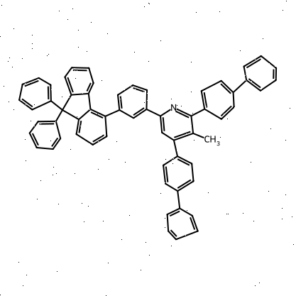 Cc1c(-c2ccc(-c3ccccc3)cc2)cc(-c2cccc(-c3cccc4c3-c3ccccc3C4(c3ccccc3)c3ccccc3)c2)nc1-c1ccc(-c2ccccc2)cc1